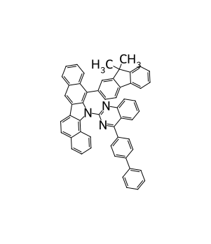 CC1(C)c2ccccc2-c2ccc(-c3c4ccccc4cc4c5ccc6ccccc6c5n(-c5nc(-c6ccc(-c7ccccc7)cc6)c6ccccc6n5)c34)cc21